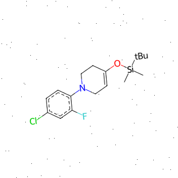 CC(C)(C)[Si](C)(C)OC1=CCN(c2ccc(Cl)cc2F)CC1